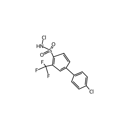 O=S(=O)(NCl)c1ccc(-c2ccc(Cl)cc2)cc1C(F)(F)F